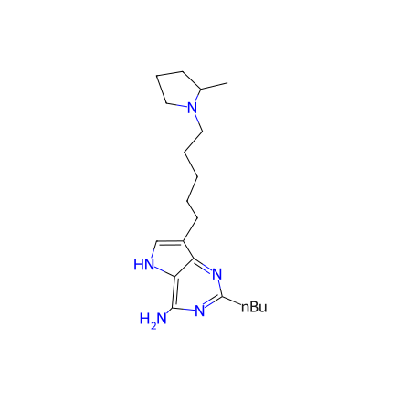 CCCCc1nc(N)c2[nH]cc(CCCCCN3CCCC3C)c2n1